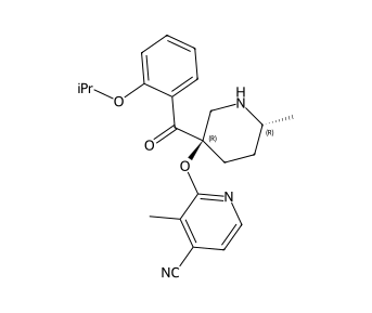 Cc1c(C#N)ccnc1O[C@]1(C(=O)c2ccccc2OC(C)C)CC[C@@H](C)NC1